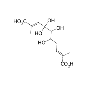 CC(=CCC(O)C(O)C(O)(O)C=C(C)C(=O)O)C(=O)O